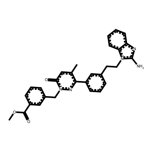 COC(=O)c1cccc(Cn2nc(-c3cccc(CCn4c(N)nc5ccccc54)c3)c(C)cc2=O)c1